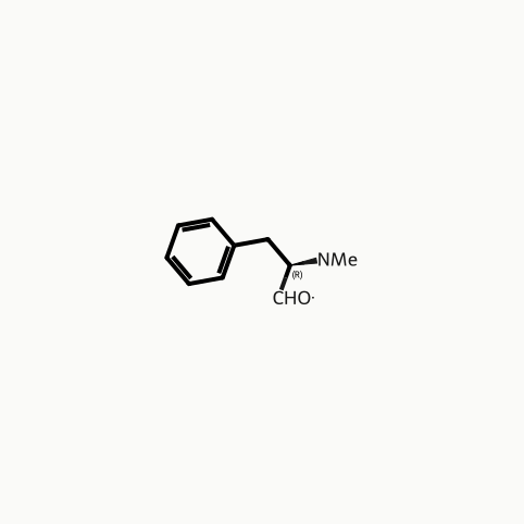 CN[C@@H]([C]=O)Cc1ccccc1